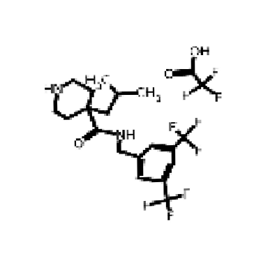 CC(C)CC1(C(=O)NCc2cc(C(F)(F)F)cc(C(F)(F)F)c2)CCNCC1.O=C(O)C(F)(F)F